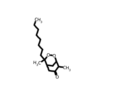 CCCCCCCCC1(C)OOC2CC1CC(=O)C2C